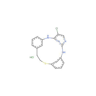 Cl.Clc1cnc2nc1Nc1cccc(c1)CCSc1cccc(c1)N2